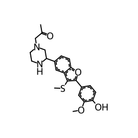 COc1cc(-c2oc3ccc(C4CN(CC(C)=O)CCN4)cc3c2SC)ccc1O